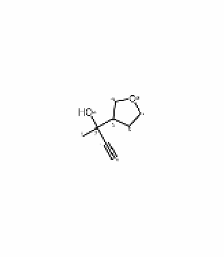 C#CC(C)(O)C1CCOC1